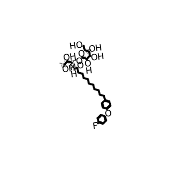 C[C@@H](O)[C@@H](O)[C@H](CO[C@H]1OC(CO)[C@@H](O)C(O)C1O)NC(=O)CCCCCCCCCCc1ccc(Oc2ccc(F)cc2)cc1